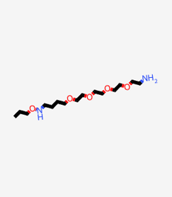 CCCONCCCCOCCOCCOCCOCCN